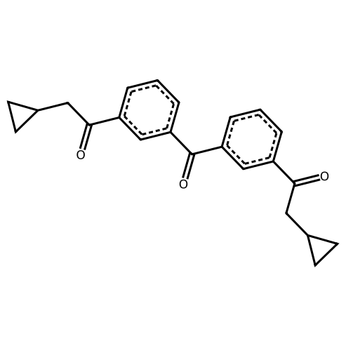 O=C(CC1CC1)c1cccc(C(=O)c2cccc(C(=O)CC3CC3)c2)c1